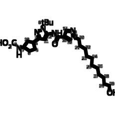 CC(C)(C)n1nc(C2CCC(NC(=O)O)C2)cc1NC(=O)c1cnn(CCCCCCCCCCCO)c1